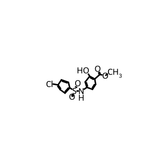 COC(=O)c1ccc(NS(=O)(=O)c2ccc(Cl)cc2)cc1O